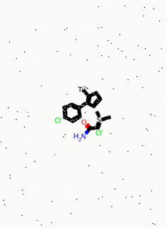 C[Si](C)=CC(N)=O.[Cl-].[Cl-].[Ti+2][C]1=C(c2ccccc2)C=CC1